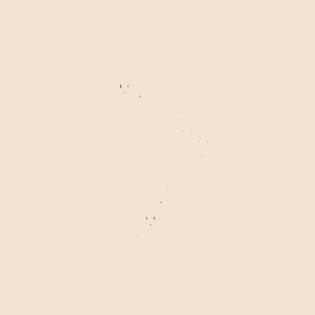 [Al+3].[Al+3].[Co+2].[Co+2].[Mn+2].[Mn+2].[O-2].[O-2].[O-2].[O-2].[O-2].[O-2].[O-2]